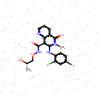 C[C@H](O)CONC(=O)c1c(Nc2ccc(I)cc2F)n(C)c(=O)c2cccnc12